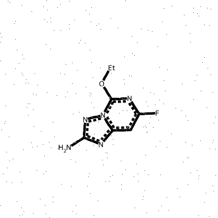 CCOc1nc(F)cc2nc(N)nn12